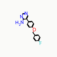 Nc1ncncc1-c1ccc(OCc2ccc(F)cc2)cc1